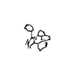 C1=CCCC(c2nnc(-c3ccccc3)n2-c2cccc3ccccc23)=C1